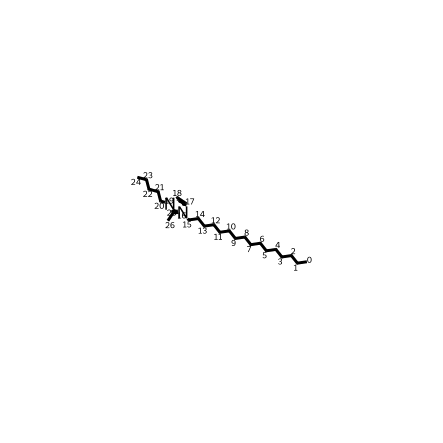 CCCCCCCCCCCCCCCCn1cc[n+](CCCCC)c1C